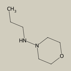 CCCNN1CCOCC1